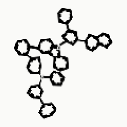 c1ccc(-c2cccc(N(c3ccccc3)c3ccc(-c4ccccc4-c4ccc5c(c4)c4ccccc4n5-c4cc(-c5ccccc5)cc(-c5ccc6ccccc6c5)c4)cc3)c2)cc1